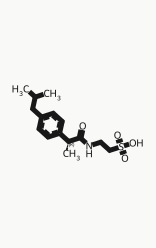 CC(C)Cc1ccc([C@@H](C)C(=O)NCCS(=O)(=O)O)cc1